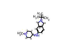 CN1CCC(Nc2ccc3c(c2)CN(C(C)(C)C)C3)CC1